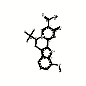 COc1cccc2c3c(oc12)-c1cc(=O)c(C(=O)O)cn1C(C(C)(C)C)C3